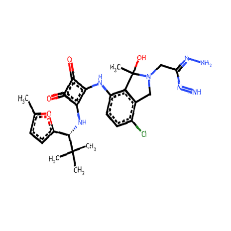 Cc1ccc([C@H](Nc2c(Nc3ccc(Cl)c4c3C(C)(O)N(C/C(N=N)=N/N)C4)c(=O)c2=O)C(C)(C)C)o1